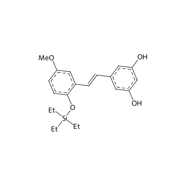 CC[Si](CC)(CC)Oc1ccc(OC)cc1/C=C/c1cc(O)cc(O)c1